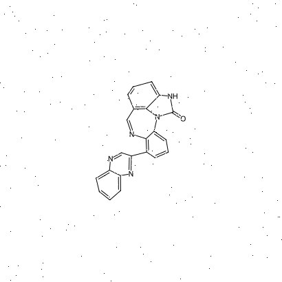 O=c1[nH]c2cccc3c2n1-c1cccc(-c2cnc4ccccc4n2)c1N=C3